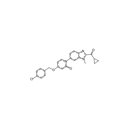 Cn1c(C(=O)C2CC2)nc2ccc(-n3ccc(OCc4ccc(Cl)cc4)cc3=O)cc21